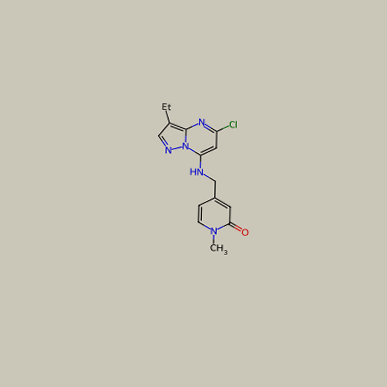 CCc1cnn2c(NCc3ccn(C)c(=O)c3)cc(Cl)nc12